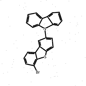 Brc1cccc2c1sc1ccc(-n3c4ccccc4c4ccccc43)cc12